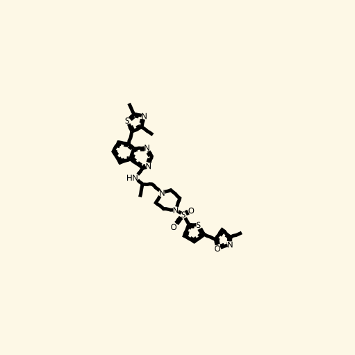 Cc1cc(-c2ccc(S(=O)(=O)N3CCN(CC(C)Nc4ncnc5c(-c6sc(C)nc6C)cccc45)CC3)s2)on1